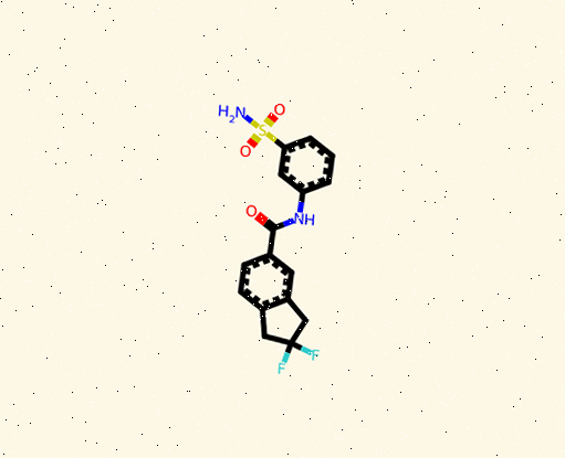 NS(=O)(=O)c1cccc(NC(=O)c2ccc3c(c2)CC(F)(F)C3)c1